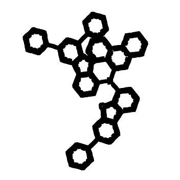 c1ccc(-c2ccc3c(c2)oc2c(N(c4cc5ccccc5c5ccccc45)c4cccc5c4oc4c(-c6ccccc6)cc(-c6ccccc6)cc45)cccc23)cc1